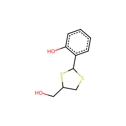 OCC1CSC(c2ccccc2O)S1